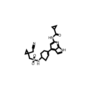 N#CCC1(CS(=O)(=O)NC2CC=C(c3cc(NC(=O)C4CC4)nc4[nH]ccc34)CC2)CC1